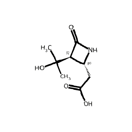 CC(C)(O)[C@H]1C(=O)N[C@@H]1CC(=O)O